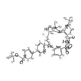 C[C@H]1CC(c2ccc(C3=CCN(C(=O)OC(C)(C)C)CC3)cn2)Nc2cccc(n2)S(=O)(=O)NC(=O)c2ccc(C(C)(C)C)nc2N2C[C@@H]1CC2(C)C